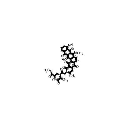 COC(=O)C1CN(C(=O)Cn2c(C)cc3c(=O)c4ccc5c(OC)c6c(=O)c7c(O)cccc7c(=O)c6c(O)c5c4c(=O)c3c2=O)C(C)C(=O)N1